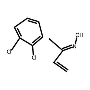 C=CC(C)=NO.Clc1ccccc1Cl